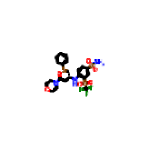 NS(=O)(=O)c1ccc(N[C@@H](CSc2ccccc2)CC(=O)N2CCOCC2)c(S(=O)(=O)C(F)(F)F)c1